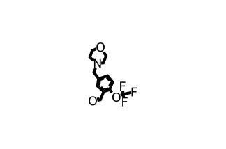 O=Cc1cc(CN2CCOCC2)ccc1OC(F)(F)F